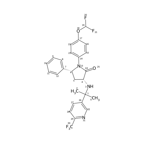 CC(C)(N[C@@H]1C[C@H](c2ccccc2)N(c2ccc(OC(F)F)cc2)C1=O)c1ccc(C(F)(F)F)nc1